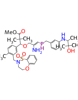 COC(=O)C(C)(C)C(OC/C(N)=C/PCc1cccc(NC(C)C(C)(C)O)c1)c1ccc(C)c(CN2CCOc3ccccc3S2(=O)=O)c1